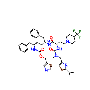 CC(C)c1nc(CN(C)C(=O)N[C@@H](CCN2CCC(C(F)(F)F)CC2)C(=O)N[C@H](CC[C@H](Cc2ccccc2)NC(=O)OCc2cncs2)Cc2ccccc2)cs1